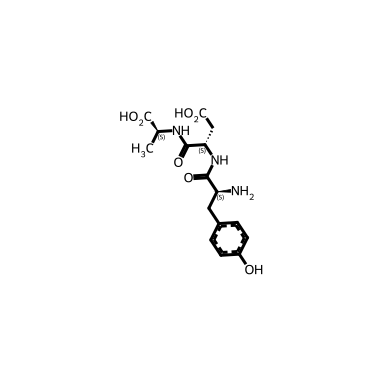 C[C@H](NC(=O)[C@H](CC(=O)O)NC(=O)[C@@H](N)Cc1ccc(O)cc1)C(=O)O